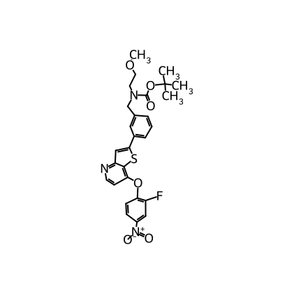 COCCN(Cc1cccc(-c2cc3nccc(Oc4ccc([N+](=O)[O-])cc4F)c3s2)c1)C(=O)OC(C)(C)C